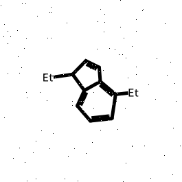 CCc1cccc2c1C=CC2CC